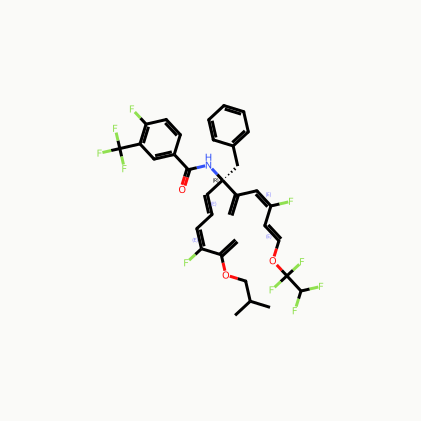 C=C(OCC(C)C)/C(F)=C\C=C\[C@@](Cc1ccccc1)(NC(=O)c1ccc(F)c(C(F)(F)F)c1)C(=C)/C=C(F)\C=C\OC(F)(F)C(F)F